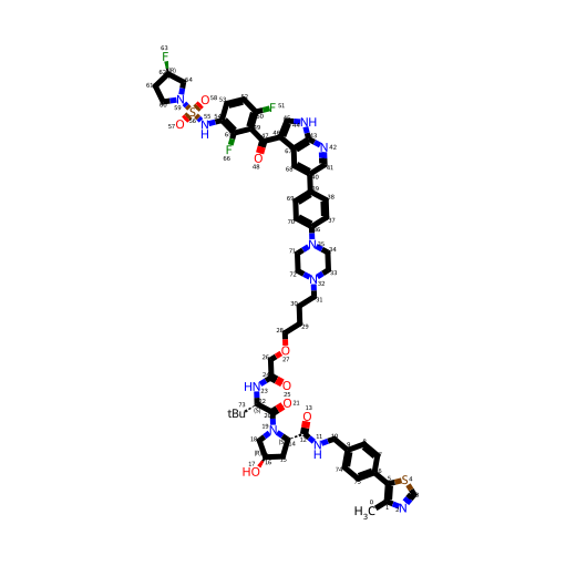 Cc1ncsc1-c1ccc(CNC(=O)[C@@H]2C[C@@H](O)CN2C(=O)[C@@H](NC(=O)COCCCCN2CCN(c3ccc(-c4cnc5[nH]cc(C(=O)c6c(F)ccc(NS(=O)(=O)N7CC[C@@H](F)C7)c6F)c5c4)cc3)CC2)C(C)(C)C)cc1